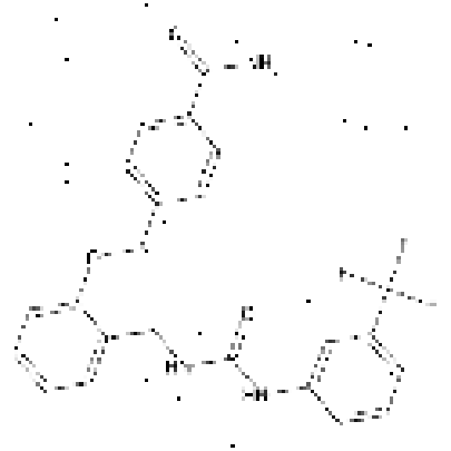 NC(=O)c1ccc(COc2ccccc2CNC(=O)Nc2cccc(C(F)(F)F)c2)cc1